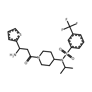 CC(C)N(C1CCN(C(=O)CC(N)c2cccs2)CC1)S(=O)(=O)c1cccc(C(F)(F)F)c1